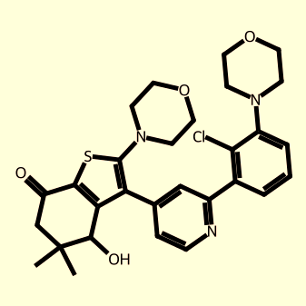 CC1(C)CC(=O)c2sc(N3CCOCC3)c(-c3ccnc(-c4cccc(N5CCOCC5)c4Cl)c3)c2C1O